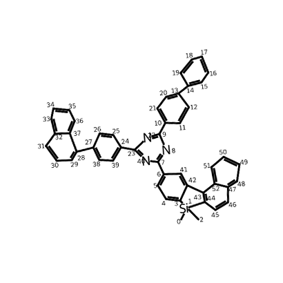 C[Si]1(C)c2ccc(-c3nc(-c4ccc(-c5ccccc5)cc4)nc(-c4ccc(-c5cccc6ccccc56)cc4)n3)cc2-c2c1ccc1ccccc21